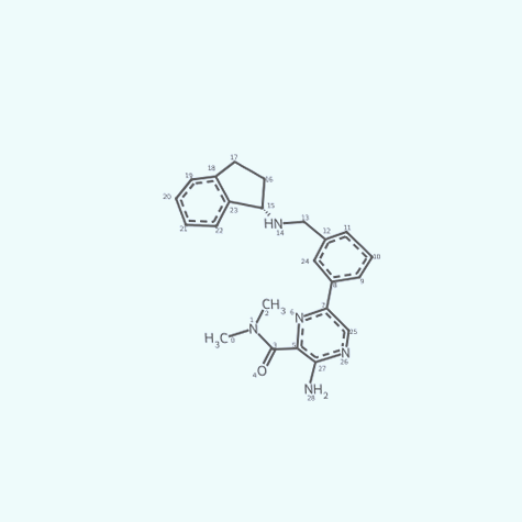 CN(C)C(=O)c1nc(-c2cccc(CN[C@H]3CCc4ccccc43)c2)cnc1N